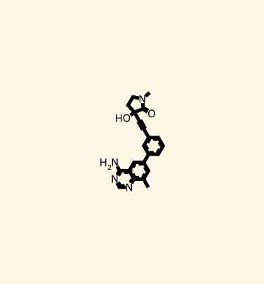 Cc1cc(-c2cccc(C#CC3(O)CCN(C)C3=O)c2)cc2c(N)ncnc12